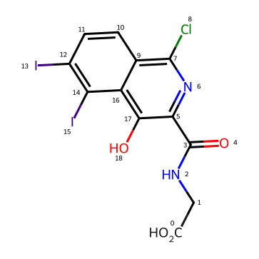 O=C(O)CNC(=O)c1nc(Cl)c2ccc(I)c(I)c2c1O